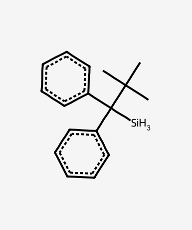 CC(C)(C)C([SiH3])(c1ccccc1)c1ccccc1